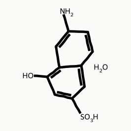 Nc1ccc2cc(S(=O)(=O)O)cc(O)c2c1.O